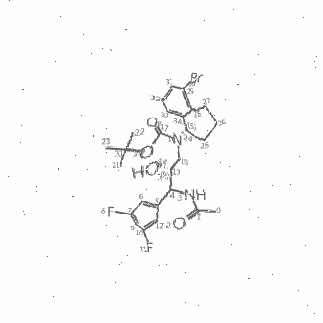 CC(=O)NC(c1cc(F)cc(F)c1)[C@H](O)CN(C(=O)OC(C)(C)C)[C@H]1CCCc2c(Br)cccc21